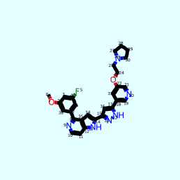 COc1cc(F)cc(-c2nccc3[nH]c(-c4cc(-c5cncc(OCCN6CCCC6)c5)[nH]n4)cc23)c1